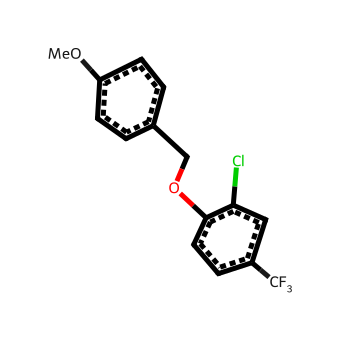 COc1ccc(COc2ccc(C(F)(F)F)cc2Cl)cc1